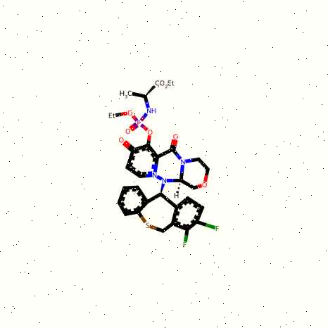 CCOC(=O)[C@H](C)NP(=O)(OCC)Oc1c2n(ccc1=O)N([C@@H]1c3ccccc3SCc3c1ccc(F)c3F)[C@@H]1COCCN1C2=O